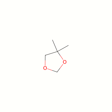 CC1(C)COCO1